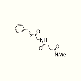 CNC(=O)CCC(=O)NCC(=O)SCc1ccccc1